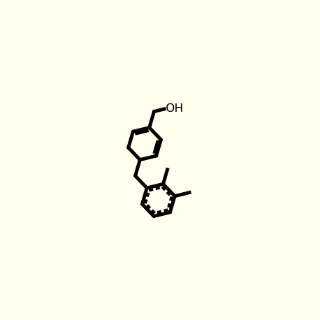 Cc1cccc(CC2C=CC(CO)=CC2)c1C